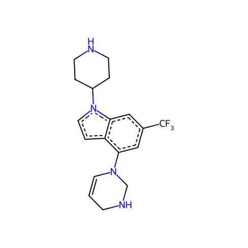 FC(F)(F)c1cc(N2C=CCNC2)c2ccn(C3CCNCC3)c2c1